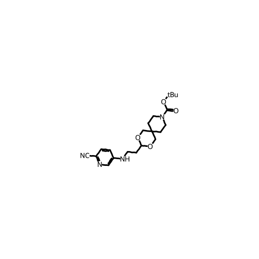 CC(C)(C)OC(=O)N1CCC2(CC1)COC(CCNc1ccc(C#N)nc1)OC2